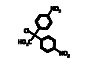 O=C(O)C(Cl)(c1ccc([N+](=O)[O-])cc1)c1ccc([N+](=O)[O-])cc1